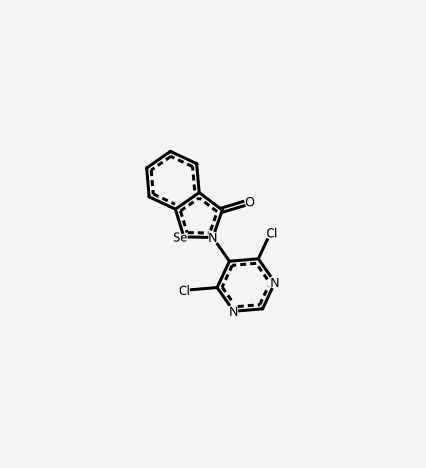 O=c1c2ccccc2[se]n1-c1c(Cl)ncnc1Cl